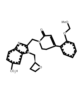 COCOc1ccccc1C1=CC(=O)N(Cc2nc3ccc(C(=O)O)cc3n2C[C@@H]2CCO2)CC1